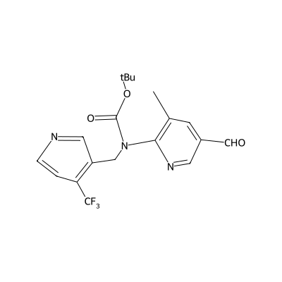 Cc1cc(C=O)cnc1N(Cc1cnccc1C(F)(F)F)C(=O)OC(C)(C)C